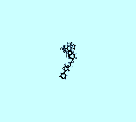 Cc1oc(-c2ccccc2)nc1CCOc1ccc2cc(C(CP(=O)(O)O)P(=O)(O)O)[nH]c2c1